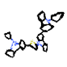 c1ccc(-n2c3ccccc3c3cc(-c4ccc5c(c4)c4ccccc4n5-c4ccc(-c5ccc6c(c5)c5ccccc5n6-c5ccccc5)s4)ccc32)cc1